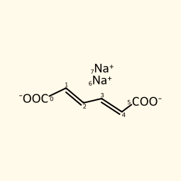 O=C([O-])/C=C/C=C/C(=O)[O-].[Na+].[Na+]